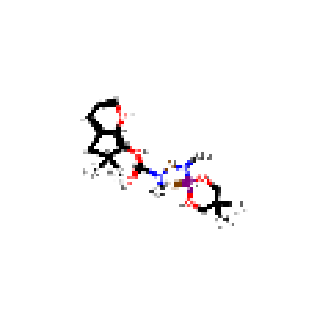 CN(SN(C(C)(C)C)P1(=S)OCC(C)(C)CO1)C(=O)OC1=C2OC=CC=C2CC1(C)C